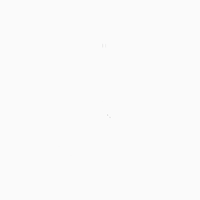 Cc1ccc(-c2ccc(C3CC3)cn2)cc1O